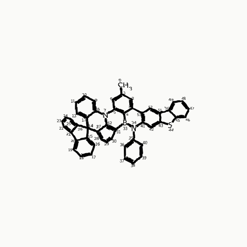 Cc1cc2c3c(c1)N1c4ccccc4C4(c5ccccc5-c5ccccc54)c4cccc(c41)B3N(c1ccccc1)c1cc3sc4ccccc4c3cc1-2